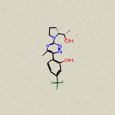 Cc1nc(N2CCC[C@@H]2[C@H](C)O)nnc1-c1ccc(C(F)(F)F)cc1O